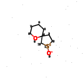 [O-][S+]1CCC2(CCCCO2)C1